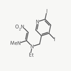 CCN(Cc1cnc(I)cc1I)C(=C[N+](=O)[O-])NC